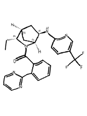 CC[C@@H]1[C@H]2C[C@@H](Nc3ccc(C(F)(F)F)cn3)[C@H](C2)N1C(=O)c1ccccc1-c1ncccn1